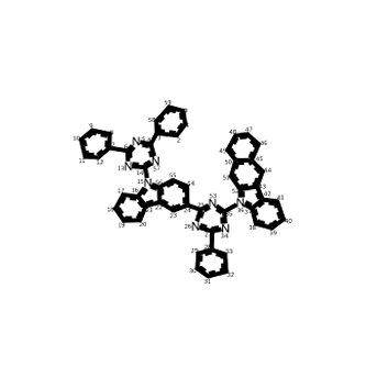 c1ccc(-c2nc(-c3ccccc3)nc(-n3c4ccccc4c4cc(-c5nc(-c6ccccc6)nc(-n6c7ccccc7c7cc8ccccc8cc76)n5)ccc43)n2)cc1